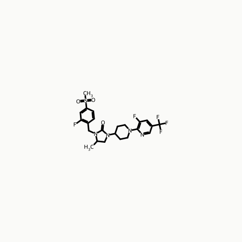 CC1CN(C2CCN(c3ncc(C(F)(F)F)cc3F)CC2)C(=O)N1Cc1ccc(S(C)(=O)=O)cc1F